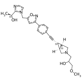 COCC(O)CN1C[C@@H]2[C@@H](C#Cc3ccc(-c4cc(Cn5ccnc5[C@H](C)O)on4)cc3)[C@@H]2C1